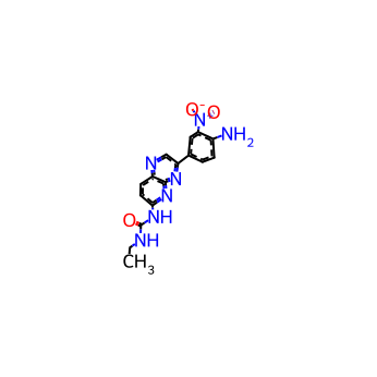 CCNC(=O)Nc1ccc2ncc(-c3ccc(N)c([N+](=O)[O-])c3)nc2n1